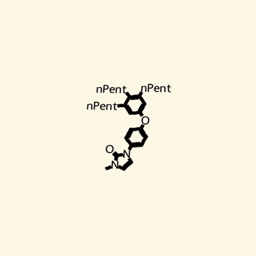 CCCCCc1cc(Oc2ccc(-n3ccn(C)c3=O)cc2)cc(CCCCC)c1CCCCC